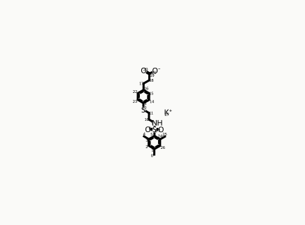 Cc1cc(C)c(S(=O)(=O)NCCSc2ccc(CCC(=O)[O-])cc2)c(C)c1.[K+]